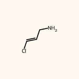 NC/C=C/Cl